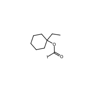 CCC1(OC(=O)I)CCCCC1